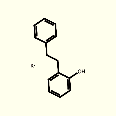 Oc1ccccc1CCc1ccccc1.[K]